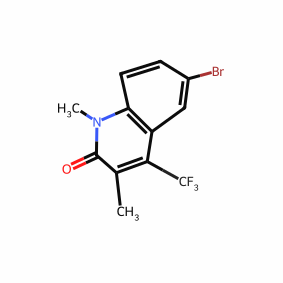 Cc1c(C(F)(F)F)c2cc(Br)ccc2n(C)c1=O